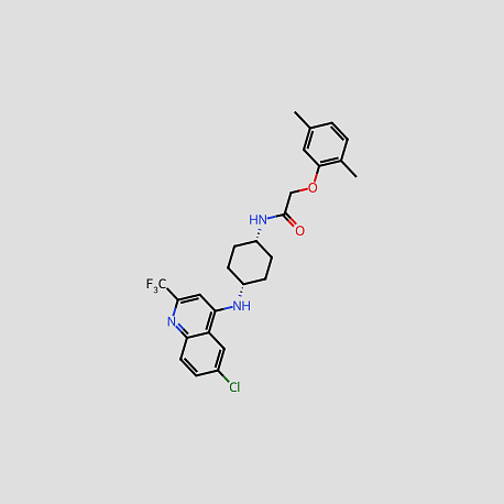 Cc1ccc(C)c(OCC(=O)N[C@H]2CC[C@@H](Nc3cc(C(F)(F)F)nc4ccc(Cl)cc34)CC2)c1